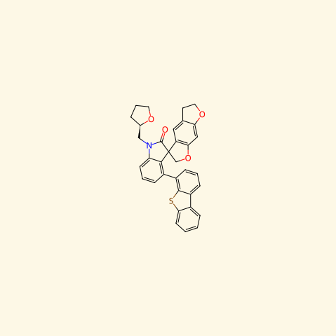 O=C1N(C[C@H]2CCCO2)c2cccc(-c3cccc4c3sc3ccccc34)c2C12COc1cc3c(cc12)CCO3